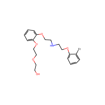 CCc1ccccc1OCCNCCOc1ccccc1OCCOCCO